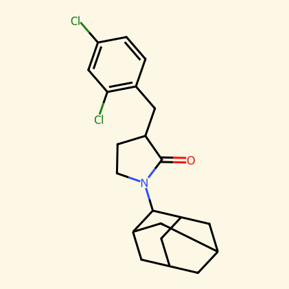 O=C1C(Cc2ccc(Cl)cc2Cl)CCN1C1C2CC3CC(C2)CC1C3